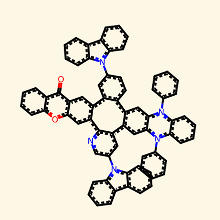 O=c1c2ccccc2oc2cc3c(cc12)c1cc(-n2c4ccccc4c4ccccc42)ccc1c1cc2c(cc1c1cc(-n4c5ccccc5c5ccccc54)cnc13)n(-c1ccccc1)c1ccccc1n2-c1ccccc1